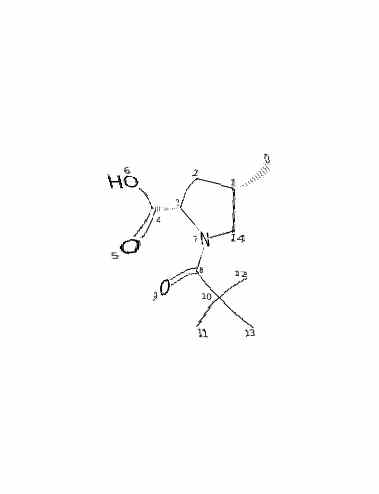 C[C@H]1C[C@@H](C(=O)O)N(C(=O)C(C)(C)C)C1